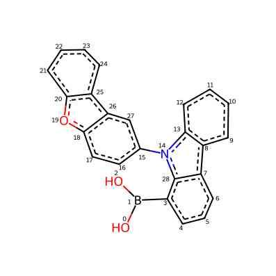 OB(O)c1cccc2c3ccccc3n(-c3ccc4oc5ccccc5c4c3)c12